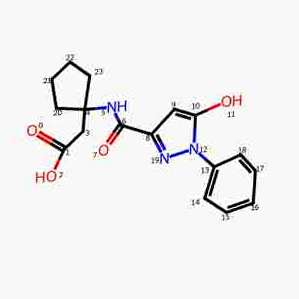 O=C(O)CC1(NC(=O)c2cc(O)n(-c3ccccc3)n2)CCCC1